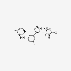 Cc1cc(Nc2nccc(C)n2)cc(-c2cnn(C[C@H]3OC(=O)NC3(C)C)c2)c1